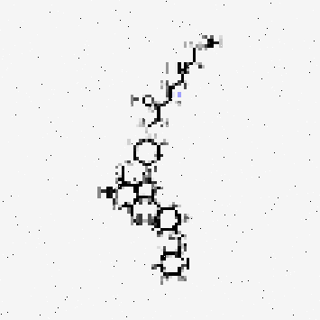 Nc1n[nH]c(=O)c2c1c(-c1ccc(Oc3ccccn3)cc1)nn2[C@H]1CC[C@@H](CCC(O)/C=C/CNCCO)CC1